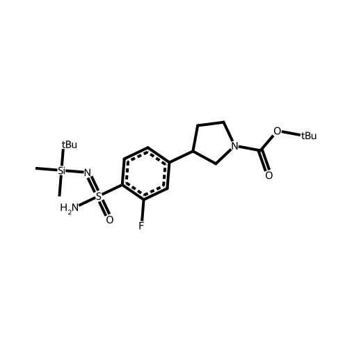 CC(C)(C)OC(=O)N1CCC(c2ccc(S(N)(=O)=N[Si](C)(C)C(C)(C)C)c(F)c2)C1